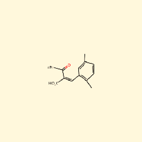 CCCC(=O)C(=Cc1cc(C)ccc1C)C(=O)O